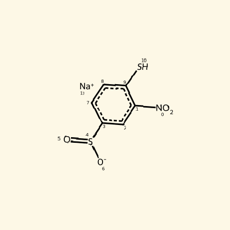 O=[N+]([O-])c1cc(S(=O)[O-])ccc1S.[Na+]